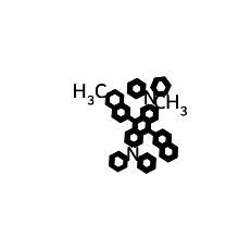 CC1CCc2cc(-c3c4ccc(N(C5=CC=CCC5)c5ccccc5)cc4c(-c4ccc5ccccc5c4)c4ccc(N(c5ccccc5)C5(C)C=CC=CC5)cc34)ccc2C1